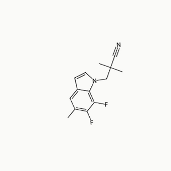 Cc1cc2ccn(CC(C)(C)C#N)c2c(F)c1F